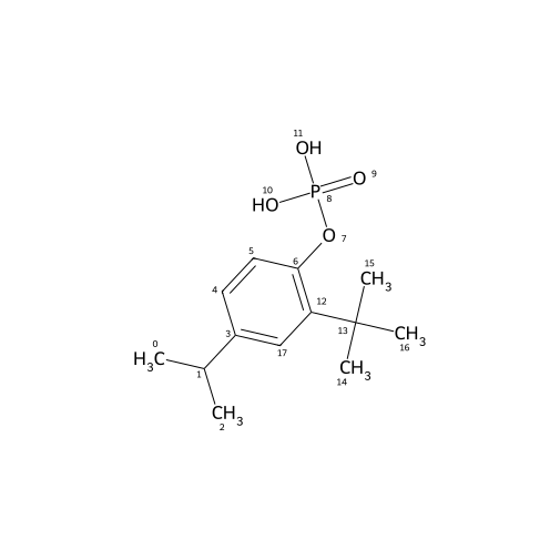 CC(C)c1ccc(OP(=O)(O)O)c(C(C)(C)C)c1